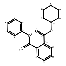 O=C(Oc1ccccc1)c1ccccc1C(=O)OC1CCCCC1